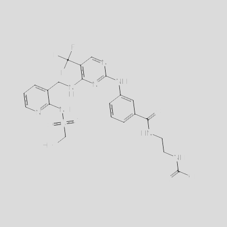 CCS(=O)(=O)Nc1ncccc1CNc1nc(Nc2cccc(C(=O)NCCNC(C)=O)c2)ncc1C(F)(F)F